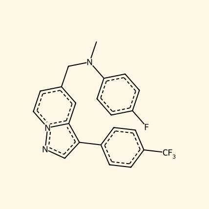 CN(Cc1ccn2ncc(-c3ccc(C(F)(F)F)cc3)c2c1)c1ccc(F)cc1